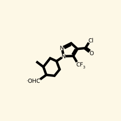 CC1CC(n2ncc(C(=O)Cl)c2C(F)(F)F)CCC1[C]=O